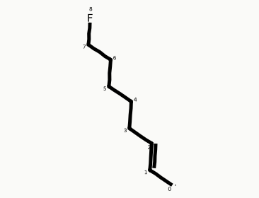 [CH2]C=CCCCCCF